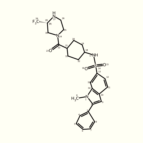 Cn1c(-c2ccccc2)cc2ccc(S(=O)(=O)NC3CCC(C(=O)N4CCN[C@@H](C(F)(F)F)C4)CC3)cc21